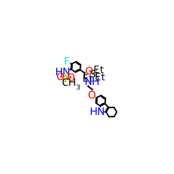 CC[Si](CC)(CC)OC(CNCCOc1ccc2c3c([nH]c2c1)CCCC3)c1ccc(F)c(NS(C)(=O)=O)c1